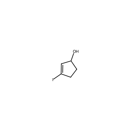 OC1C=C(I)CC1